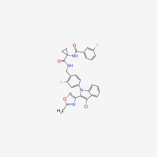 Cc1nc(-c2c(Cl)c3ccccc3n2-c2ccc(CNC(=O)C3(NC(=O)c4cccc(F)c4)CC3)c(F)c2)no1